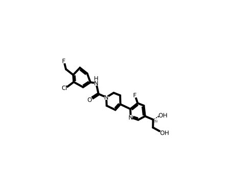 O=C(Nc1ccc(CF)c(Cl)c1)N1CC=C(c2ncc([C@H](O)CO)cc2F)CC1